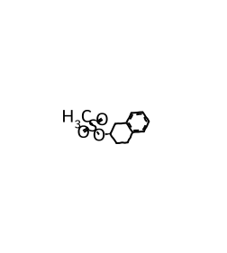 CS(=O)(=O)O[C@@H]1CCc2ccccc2C1